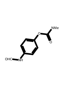 CNC(=O)Oc1ccc(NC=O)cc1